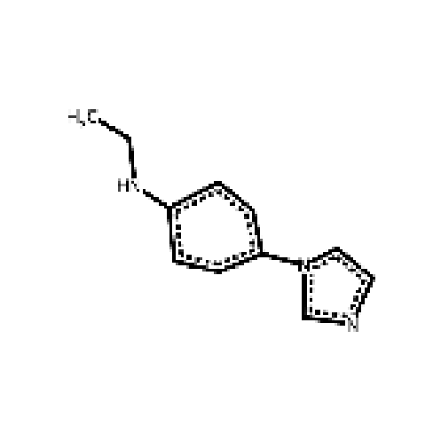 CCNc1ccc(-n2ccnc2)cc1